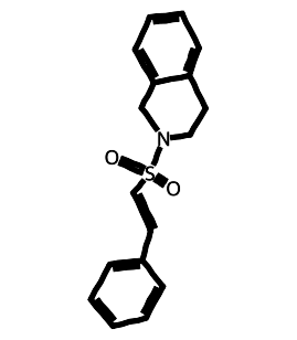 O=S(=O)(/C=C/c1ccccc1)N1CCc2ccccc2C1